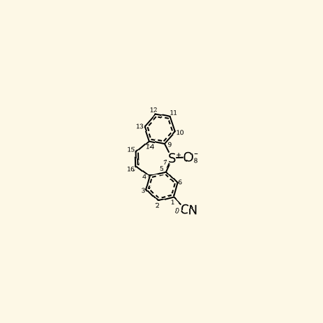 N#Cc1ccc2c(c1)[S+]([O-])c1ccccc1C=C2